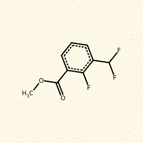 COC(=O)c1cccc(C(F)F)c1F